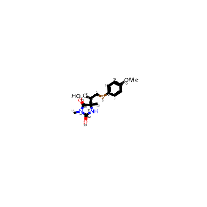 COc1ccc(SCC(C(=O)O)C2(C)NC(=O)N(C)C2=O)cc1